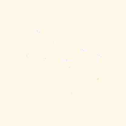 CCc1ncc(C(P(=O)(O)O)P(=O)(O)O)c(N)n1.NCCC(O)(P(=O)(O)O)P(=O)(O)O